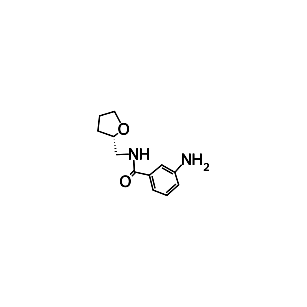 Nc1cccc(C(=O)NC[C@@H]2CCCO2)c1